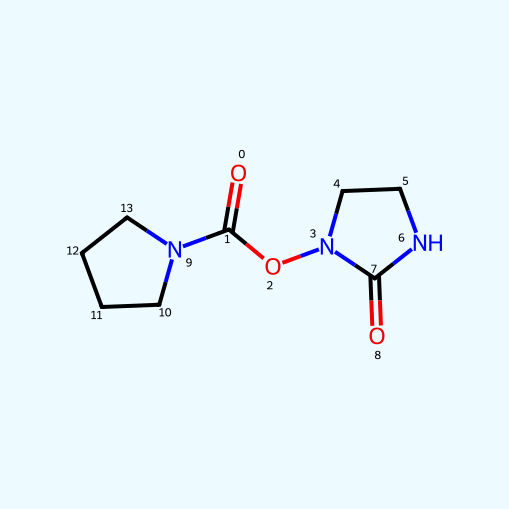 O=C(ON1CCNC1=O)N1CCCC1